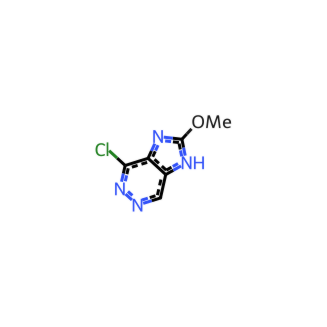 COc1nc2c(Cl)nncc2[nH]1